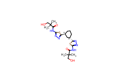 CC(C)(CO)C(=O)Nc1nnc([C@H]2CCC[C@H](c3nnc(NC(=O)C(C)(C)CO)s3)C2)s1